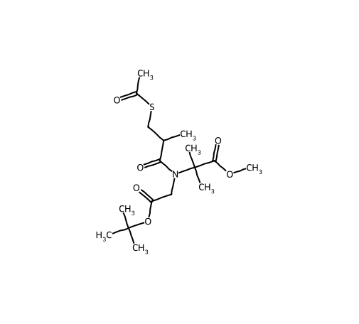 COC(=O)C(C)(C)N(CC(=O)OC(C)(C)C)C(=O)C(C)CSC(C)=O